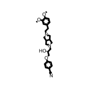 COc1ccc(CCN2CC3CN(C[C@@H](O)COc4ccc(C#N)cc4)CC3C2)cc1OC